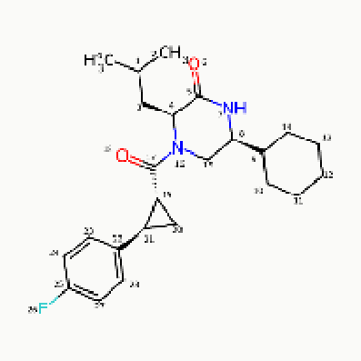 CC(C)C[C@H]1C(=O)N[C@@H](C2CCCCC2)CN1C(=O)[C@@H]1C[C@H]1c1ccc(F)cc1